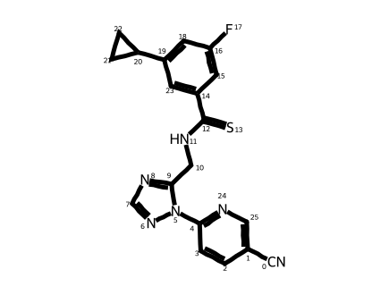 N#Cc1ccc(-n2ncnc2CNC(=S)c2cc(F)cc(C3CC3)c2)nc1